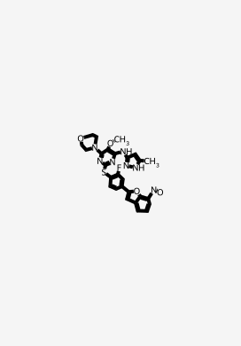 COc1c(Nc2cc(C)[nH]n2)nc(Sc2ccc(-c3cc4cccc(N=O)c4o3)cc2F)nc1N1CCOCC1